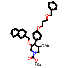 COC1CN(C(=O)OC(C)(C)C)CC(OCc2ccc3ccccc3c2)C1c1ccc(OCCCOCc2ccccc2)cc1